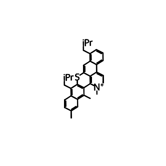 Cc1ccc2c(CC(C)C)c3c(c(C)c2c1)-c1c2c(cc4c(CC(C)C)cccc4c2cc[n+]1C)S3